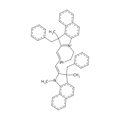 CC(C)CC[N+]1=C(/C=C/C=C2/N(C)c3c(ccc4ccccc34)C2(C)Cc2ccccc2)C(C)(Cc2ccccc2)c2c1ccc1ccccc21